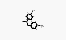 CC(Cc1ccc(C(C)(C)C)cc1)c1ccc(F)cc1